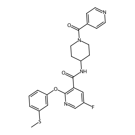 CSc1cccc(Oc2ncc(F)cc2C(=O)NC2CCN(C(=O)c3ccncc3)CC2)c1